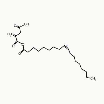 C=C(CC(=O)O)C(=O)OC(=O)CCCCCCC/C=C\CCCCCCCC